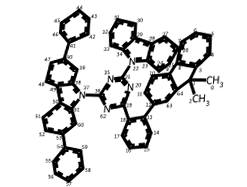 CC1(C)c2ccccc2-c2ccc(-c3ccccc3-c3nc(-n4c5ccccc5c5ccccc54)nc(-n4c5cc(-c6ccccc6)ccc5c5ccc(-c6ccccc6)cc54)n3)cc21